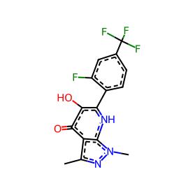 Cc1nn(C)c2[nH]c(-c3ccc(C(F)(F)F)cc3F)c(O)c(=O)c12